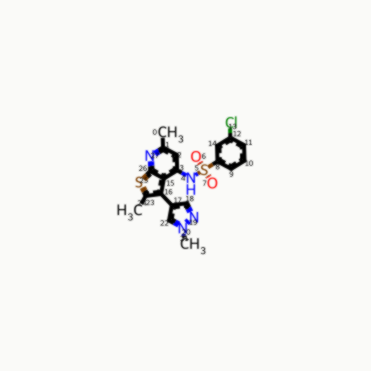 Cc1cc(NS(=O)(=O)c2cccc(Cl)c2)c2c(-c3cnn(C)c3)c(C)sc2n1